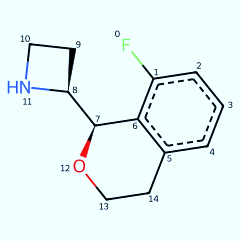 Fc1cccc2c1[C@H]([C@@H]1CCN1)OCC2